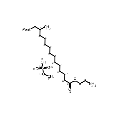 CCCC(C)CC(C)CCCCCCCCCCCC(=O)OCCN.COS(=O)(=O)O